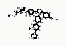 COC(=O)N[C@H](C(=O)Nc1ccc(C2CCC(c3ccc(N)cc3)N2c2ccc(C3=CNC(N4CCOCC4)C=C3)cc2)cc1)C(C)C